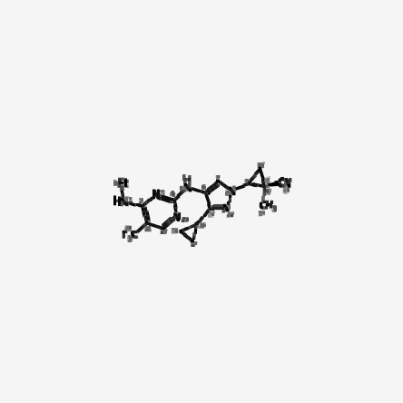 CCNc1nc(Nc2cn(C3C[C@@]3(C)C#N)nc2C2CC2)ncc1C(F)(F)F